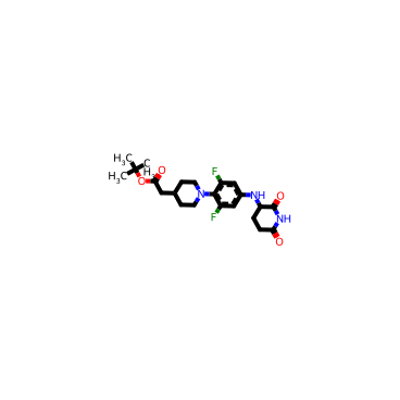 CC(C)(C)OC(=O)CC1CCN(c2c(F)cc(NC3CCC(=O)NC3=O)cc2F)CC1